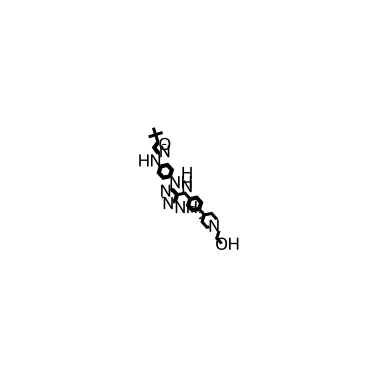 CC(C)(C)c1cc(Nc2ccc(Nc3ncnc(N)c3C(=N)c3ccc(C4CCN(CCO)CC4)cc3)cc2)no1